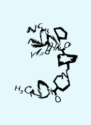 Bc1cnc(C#N)nc1N(NC(=O)c1ccc(CN2CCC(C(=O)N3CCN(C)CC3)CC2)cc1)C1CCCC1